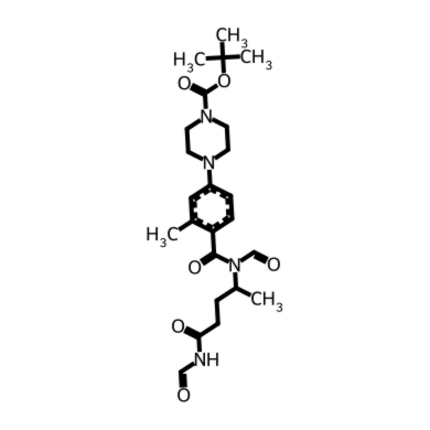 Cc1cc(N2CCN(C(=O)OC(C)(C)C)CC2)ccc1C(=O)N(C=O)C(C)CCC(=O)NC=O